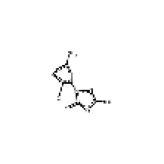 CC(C)(C)c1nn(-c2cc([N+](=O)[O-])ccc2Cl)c(=O)o1